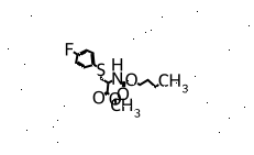 CCCCOC(=O)NC(CSc1ccc(F)cc1)C(=O)OC